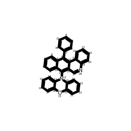 c1ccc(-c2c3ccccc3c(N3c4ccccc4Oc4ccccc43)c3cnc4ccccc4c23)cc1